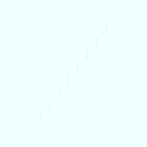 CCCCCCCCCCCCOCCC.[NaH]